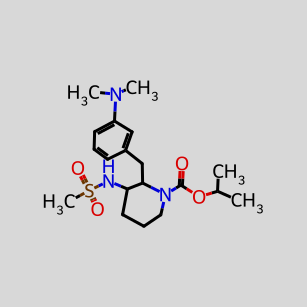 CC(C)OC(=O)N1CCCC(NS(C)(=O)=O)C1Cc1cccc(N(C)C)c1